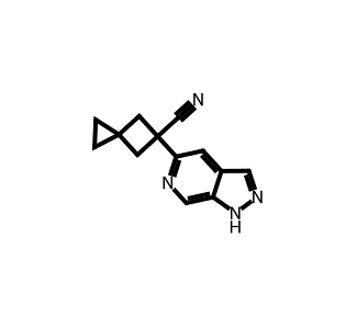 N#CC1(c2cc3cn[nH]c3cn2)CC2(CC2)C1